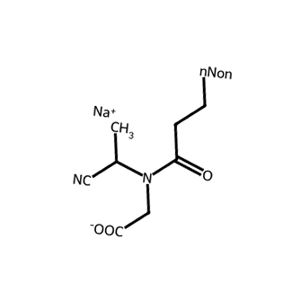 CCCCCCCCCCCC(=O)N(CC(=O)[O-])C(C)C#N.[Na+]